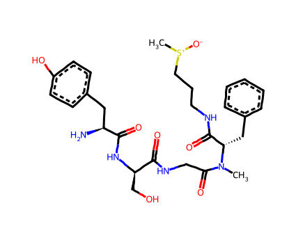 CN(C(=O)CNC(=O)[C@@H](CO)NC(=O)[C@@H](N)Cc1ccc(O)cc1)[C@@H](Cc1ccccc1)C(=O)NCCC[S+](C)[O-]